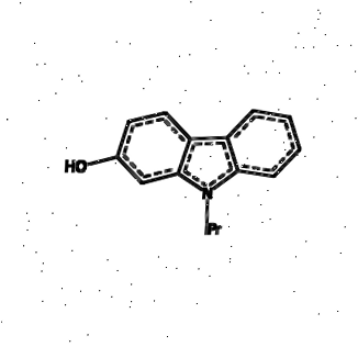 CC(C)n1c2ccccc2c2ccc(O)cc21